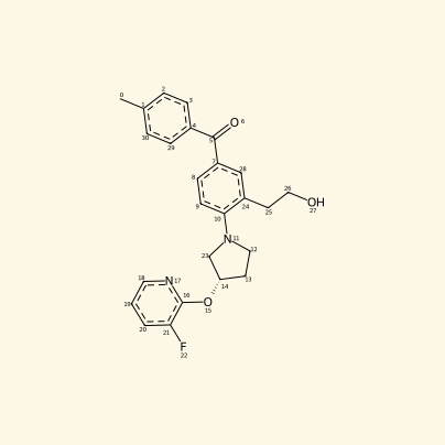 Cc1ccc(C(=O)c2ccc(N3CC[C@H](Oc4ncccc4F)C3)c(CCO)c2)cc1